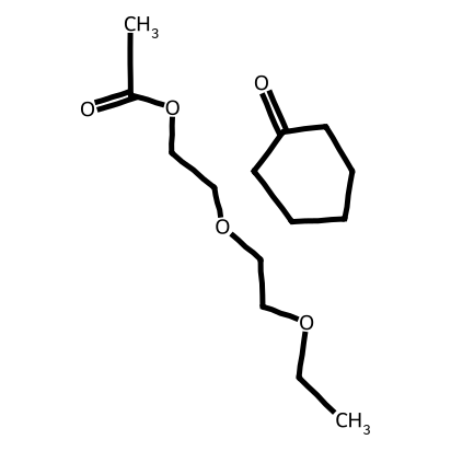 CCOCCOCCOC(C)=O.O=C1CCCCC1